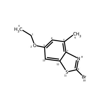 CCOc1cc(C)c2nc(Br)sc2c1